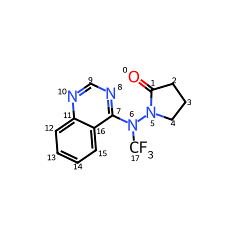 O=C1CCCN1N(c1ncnc2ccccc12)C(F)(F)F